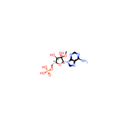 CO[C@@]1(O)[C@H](O)[C@@H](COP(=O)(O)O)O[C@H]1n1cnc2c(N)ncnc21